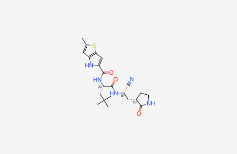 Cc1cc2[nH]c(C(=O)N[C@@H](CC(C)(C)C)C(=O)N[C@H](C#N)C[C@@H]3CCNC3=O)cc2s1